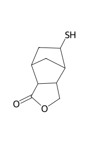 O=C1OCC2C3CC(CC3S)C12